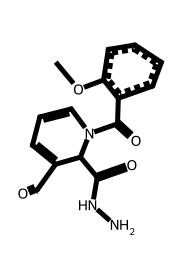 COc1ccccc1C(=O)N1C=CC=C([C]=O)C1C(=O)NN